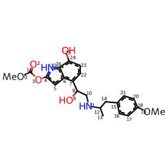 COC(=O)Oc1cc2c(C(O)CNC(C)Cc3ccc(OC)cc3)ccc(O)c2[nH]1